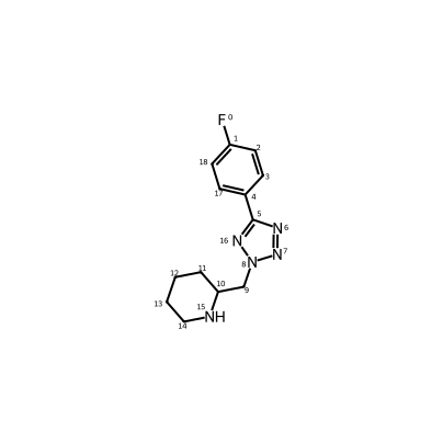 Fc1ccc(-c2nnn(CC3CCCCN3)n2)cc1